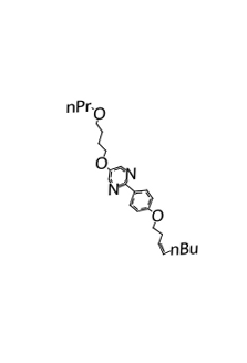 CCCC/C=C\CCOc1ccc(-c2ncc(OCCCCOCCC)cn2)cc1